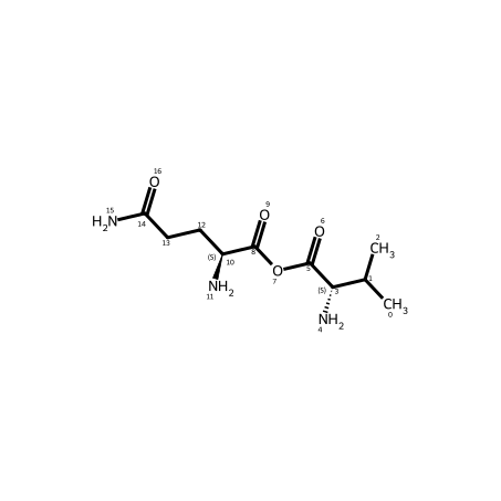 CC(C)[C@H](N)C(=O)OC(=O)[C@@H](N)CCC(N)=O